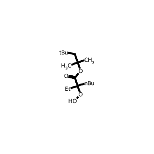 CCCCC(CC)(OO)C(=O)OC(C)(C)CC(C)(C)C